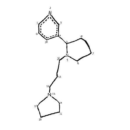 c1cncc(C2CCCN2CCCN2CCCC2)c1